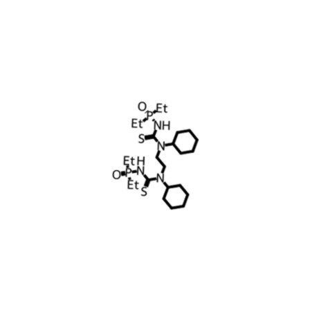 CCP(=O)(CC)NC(=S)N(CCN(C(=S)NP(=O)(CC)CC)C1CCCCC1)C1CCCCC1